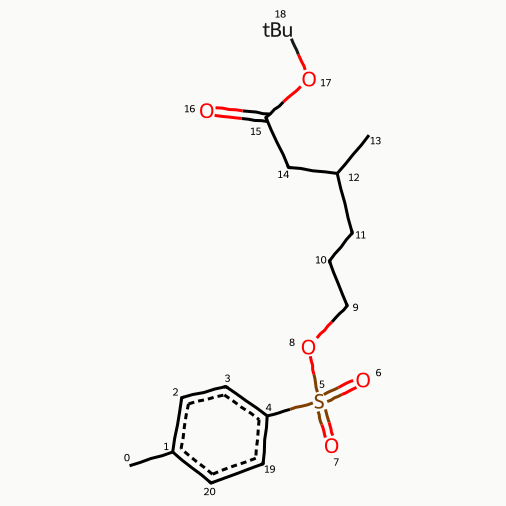 Cc1ccc(S(=O)(=O)OCCCC(C)CC(=O)OC(C)(C)C)cc1